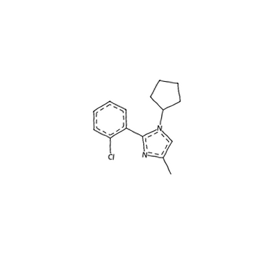 Cc1cn(C2CCCC2)c(-c2ccccc2Cl)n1